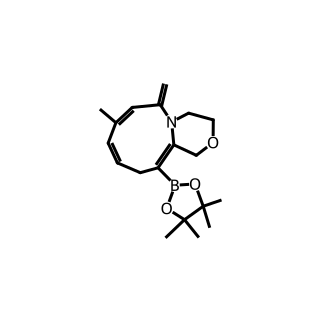 C=C1/C=C(C)\C=C/C/C(B2OC(C)(C)C(C)(C)O2)=C2/COCCN12